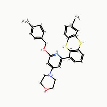 COc1ccc(COc2cc(N3CCOCC3)cc(-c3cccc4c3Sc3ccc(C)cc3S4)n2)cc1